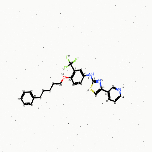 FC(F)(F)c1cc(Nc2nc(-c3cccnc3)cs2)ccc1OCCCCCc1ccccc1